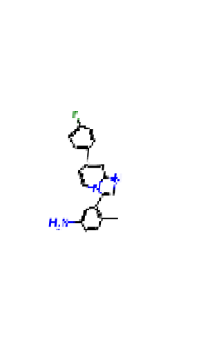 Cc1ccc(N)cc1-c1cnc2cc(-c3ccc(F)cc3)ccn12